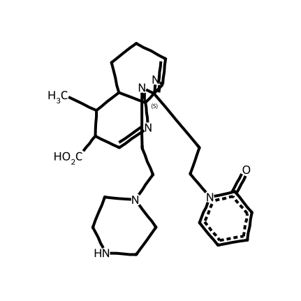 CC1C(C(=O)O)C=N[C@@]23C(=CCCC12)N=C(CCn1ccccc1=O)N3CCN1CCNCC1